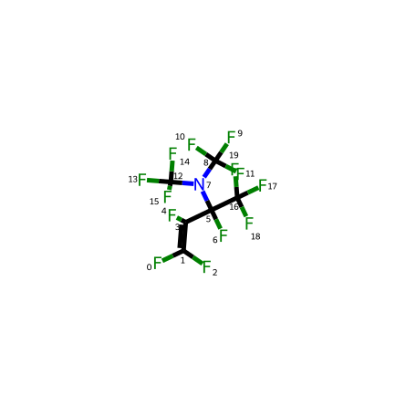 FC(F)=C(F)C(F)(N(C(F)(F)F)C(F)(F)F)C(F)(F)F